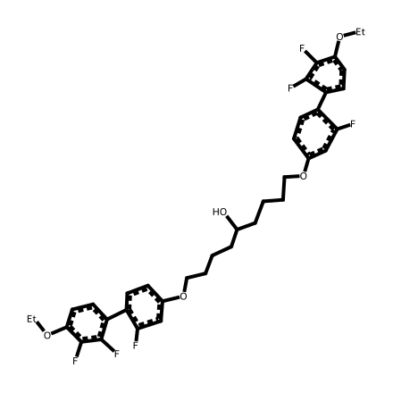 CCOc1ccc(-c2ccc(OCCCCC(O)CCCCOc3ccc(-c4ccc(OCC)c(F)c4F)c(F)c3)cc2F)c(F)c1F